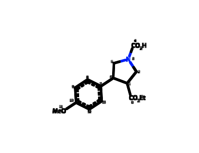 CCOC(=O)C1CN(C(=O)O)CC1c1ccc(OC)cc1